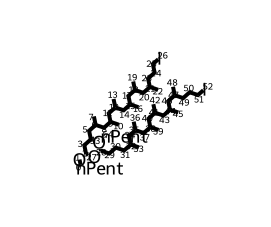 CCCCCOC(CCCC(C)CC(C)CC(C)CC(C)CC(C)CC(C)CCCI)OC(CCCC(C)CC(C)CC(C)CC(C)CC(C)CC(C)CCCI)OCCCCC